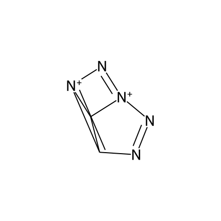 N1=N[N+]2=N[N+]3=C1C23